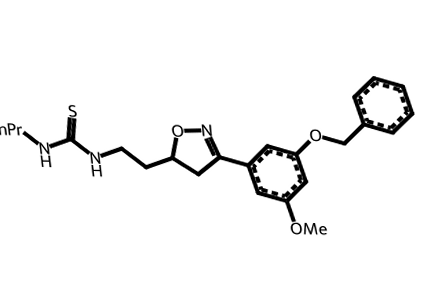 CCCNC(=S)NCCC1CC(c2cc(OC)cc(OCc3ccccc3)c2)=NO1